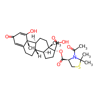 CC(=O)N1[C@H](C(=O)O[C@]2(C(=O)O)CC[C@H]3[C@@H]4CCC5=CC(=O)C=C(O)[C@]5(C)[C@H]4CC[C@@]32C)CSC1(C)C